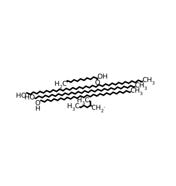 C=CCCCCCCCCC(=O)O.CCCCCCCCCCCCCCCCCCCCCCCCCCCCCCCCCCCCCO.CCCCCCCCCCCCCCCCCCCCCCCCCCCCCCCCO.CCCCCCCCCCCCCCCCCCCCCCCCCCCCCO.[CH2]C(CC)CCCC